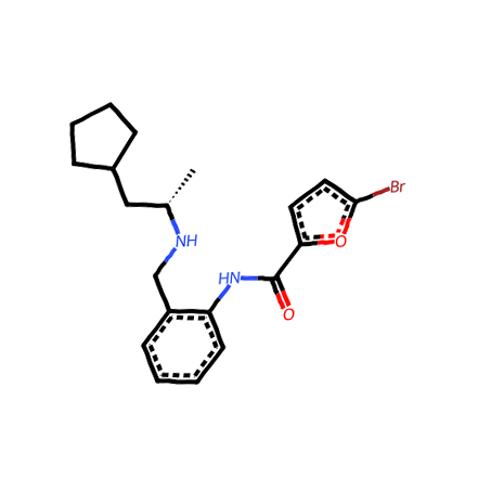 C[C@@H](CC1CCCC1)NCc1ccccc1NC(=O)c1ccc(Br)o1